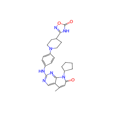 Cc1cc(=O)n(C2CCCC2)c2nc(Nc3ccc(N4CCC(c5noc(=O)[nH]5)CC4)cc3)ncc12